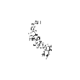 Cc1cc2nccc(C3CCC4(CC3)CC4C(=O)Nc3ccc(OCCO)cc3)c2cc1F